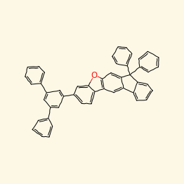 c1ccc(-c2cc(-c3ccccc3)cc(-c3ccc4c(c3)oc3cc5c(cc34)-c3ccccc3C5(c3ccccc3)c3ccccc3)c2)cc1